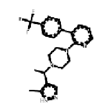 Cc1[nH]ncc1C(C)N1CCN(c2ncccc2-c2ccc(C(F)(F)F)cc2)CC1